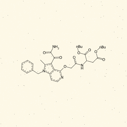 CCCCOC(=O)CC(NC(=O)COc1nccc2c1c(C(=O)C(N)=O)c(C)n2Cc1ccccc1)C(=O)OCCCC